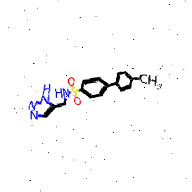 Cc1ccc(-c2ccc(S(=O)(=O)NCc3cnn[nH]3)cc2)cc1